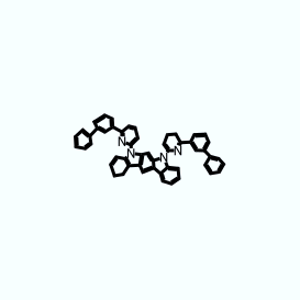 C1=Cc2c(c3cc4c5ccccc5n(C5=CCCC(c6cccc(-c7ccccc7)c6)=N5)c4cc3n2-c2cccc(-c3cccc(-c4ccccc4)c3)n2)CC1